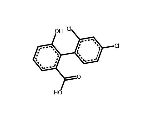 O=C(O)c1cccc(O)c1-c1ccc(Cl)cc1Cl